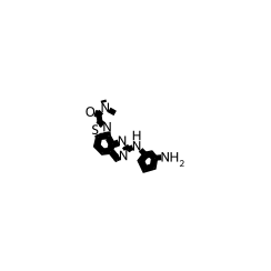 CN(C)C(=O)c1nc2c(ccc3cnc(Nc4cccc(N)c4)nc32)s1